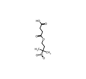 CC(C)(CCOC(=O)CCC(=O)O)[N+](=O)[O-]